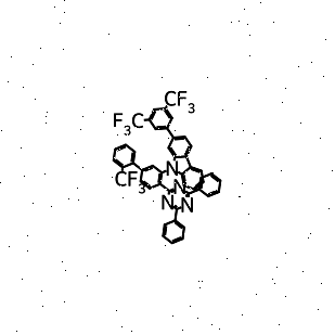 FC(F)(F)c1cc(-c2ccc3c4ccccc4n(-c4cc(-c5ccccc5C(F)(F)F)ccc4-c4nc(-c5ccccc5)nc(-c5ccccc5)n4)c3c2)cc(C(F)(F)F)c1